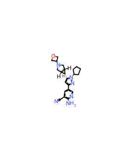 N#Cc1cc(-c2cc([C@@H]3[C@@H]4CN(C5COC5)C[C@@H]43)n(C3CCCC3)n2)cnc1N